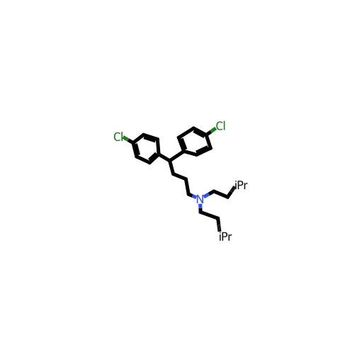 CC(C)CCN(CCCC(c1ccc(Cl)cc1)c1ccc(Cl)cc1)CCC(C)C